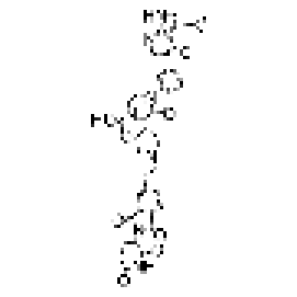 O=C1CCC(N2C(=O)c3ccc(CCN4CCC(C5C(=O)N(c6cccc(-c7cnc8[nH]cc(C9CC9)c8c7Cl)c6)CCN5C(=O)O)CC4)cc3C2=O)C(=O)N1